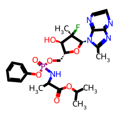 Cc1nc2nccnc2n1[C@@H]1O[C@H](COP(=O)(NC(C)C(=O)OC(C)C)Oc2ccccc2)[C@@H](O)[C@@]1(C)F